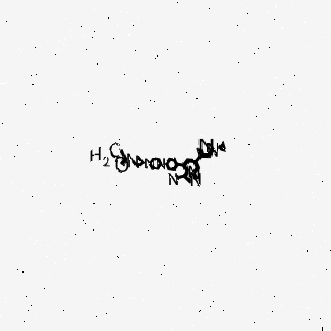 C=CC(=O)N1CC(N2CCN(c3ccc(-c4cc(-c5cnn(C6CC6)c5)cn5ncc(C#N)c45)cc3)CC2)C1